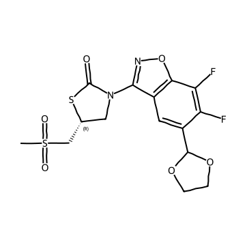 CS(=O)(=O)C[C@H]1CN(c2noc3c(F)c(F)c(C4OCCO4)cc23)C(=O)S1